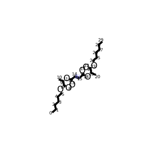 CCCCCCOC(=O)C(C)OC(=O)/C=C/C(=O)OC(C)C(=O)OCCCCCC